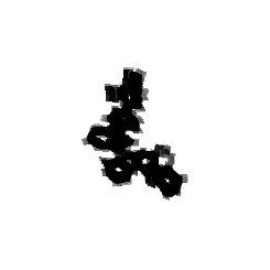 CC1CC2=C(c3oc4ccccc4c31)C1C=CCCC1N2C1=CC(c2ccc(-c3cccnc3C#N)cc2)=CCC1